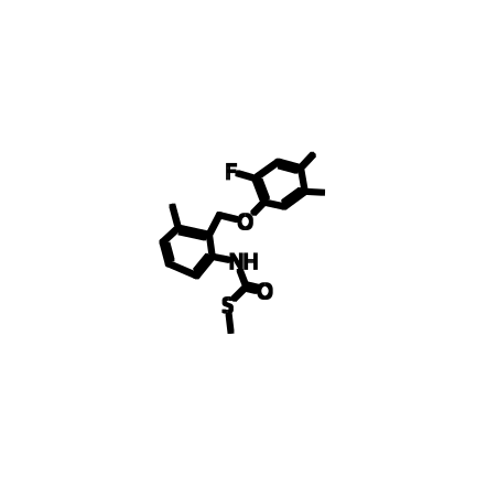 CSC(=O)Nc1cccc(C)c1COc1cc(C)c(C)cc1F